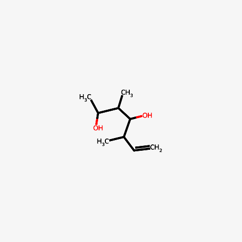 C=CC(C)C(O)C(C)C(C)O